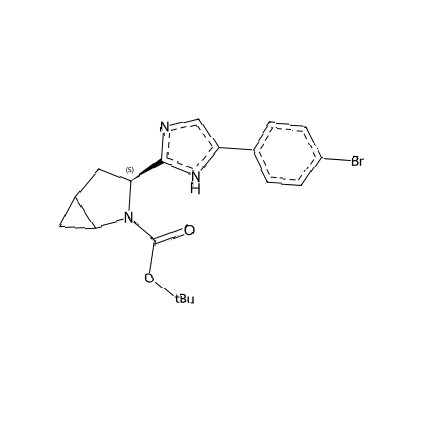 CC(C)(C)OC(=O)N1C2CC2C[C@H]1c1ncc(-c2ccc(Br)cc2)[nH]1